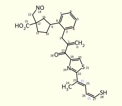 C=C(Cc1ccccc1C1CCC(CN=O)(C(=O)O)C1)C(=O)c1csc(/C(C)=C/C=C\S)n1